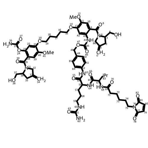 C=C1CC(CO)N(C(=O)c2cc(OC)c(OCCCCCOc3cc(OC(N)=O)c(C(=O)N4CC(=C)CC4CO)cc3OC)cc2NC(=O)OCc2ccc(NC(=O)C(CCCNC(N)=O)NC(=O)C(NC(=O)CCCCCN3C(=O)C=CC3=O)C(C)C)cc2)C1